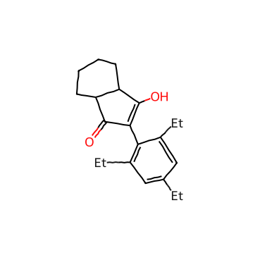 CCc1cc(CC)c(C2=C(O)C3CCCCC3C2=O)c(CC)c1